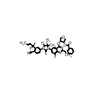 C/C=C/C(F)(F)c1cc(N2C(=O)C(C)(C)N(c3cc(F)c4nc(CC)nc(O[C@H]5COC[C@@H]5OC(=O)c5ccccc5)c4c3)C2=S)ccc1C#N